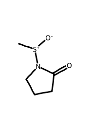 C[S+]([O-])N1CCCC1=O